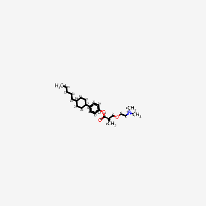 C=C(COCCN(C)C)C(=O)Oc1ccc(C2CCC(CCCCC)CC2)cc1